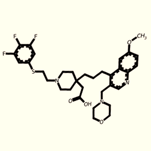 COc1ccc2ncc(CN3CCOCC3)c(CCCC3(CC(=O)O)CCN(CCSc4cc(F)c(F)c(F)c4)CC3)c2c1